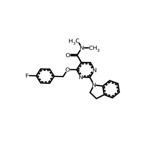 CN(C)C(=O)c1cnc(N2CCc3ccccc32)nc1OCc1ccc(F)cc1